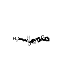 CCCCCCNC(=O)c1ccc(N2CCN(C(=O)CC3CCCCC3)CC2)nc1